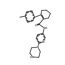 Cc1ccc(C2=C(C(=O)Nc3ccc(N4CCNCC4)nc3)CCCC2)cc1